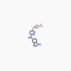 COC1CN(Cc2ccc(Nc3ccc4[nH]cnc4c3)nn2)C1